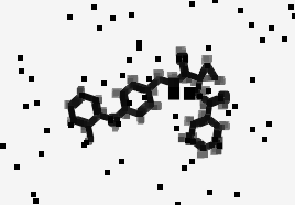 Cc1ccccc1Oc1ccc(CNC(=O)C2(NC(=O)c3cncnc3)CC2)cc1